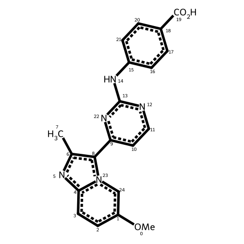 COc1ccc2nc(C)c(-c3ccnc(Nc4ccc(C(=O)O)cc4)n3)n2c1